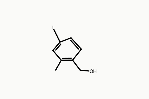 Cc1cc(I)ccc1CO